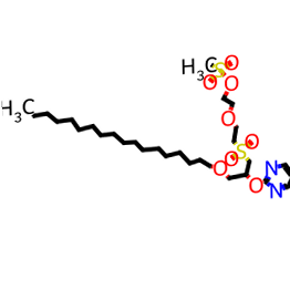 CCCCCCCCCCCCCCCCCCOCC(CS(=O)(=O)CCOCCOS(C)(=O)=O)Oc1ncccn1